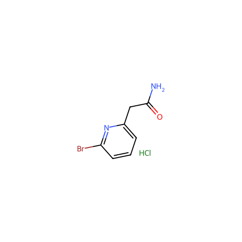 Cl.NC(=O)Cc1cccc(Br)n1